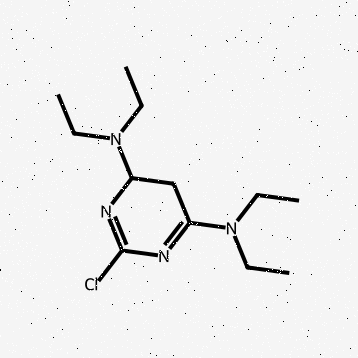 CCN(CC)C1=NC(Cl)=NC(N(CC)CC)C1